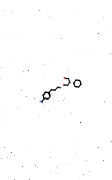 N=C(N)c1ccc(CCCC[C@H]2C[C@@H](C3CCCCC3)CC(=O)O2)cc1